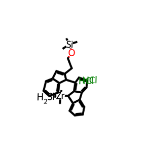 C[Si](C)(C)OCCC1=Cc2ccccc2C1c1cccc2c1[CH]([Zr]([CH3])([CH3])=[SiH2])c1ccccc1-2.Cl.Cl